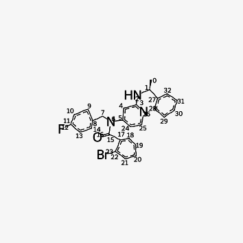 C[C@H](Nc1cc(N(Cc2ccc(F)cc2)C(=O)c2ccccc2Br)ccn1)c1ccccc1